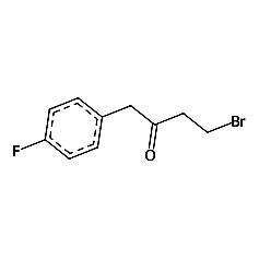 O=C(CCBr)Cc1ccc(F)cc1